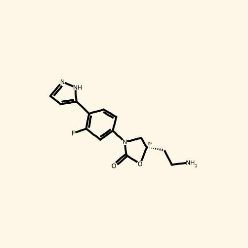 NCC[C@H]1CN(c2ccc(-c3ccn[nH]3)c(F)c2)C(=O)O1